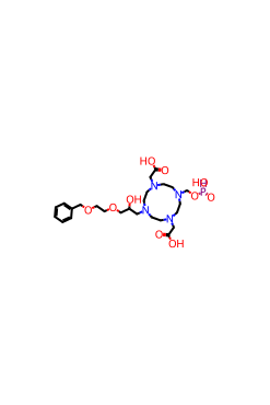 O=C(O)CN1CCN(CO[PH](=O)O)CCN(CC(=O)O)CCN(CC(O)COCCOCc2ccccc2)CC1